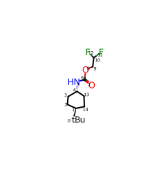 CC(C)(C)[C@H]1CC[C@H](NC(=O)OCC(F)F)CC1